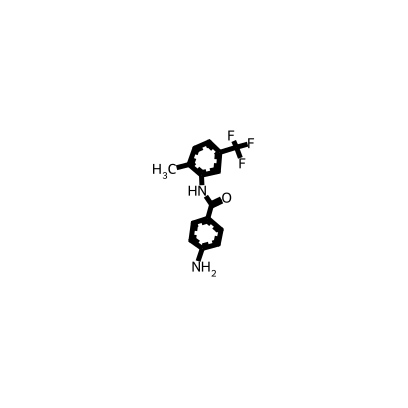 Cc1ccc(C(F)(F)F)cc1NC(=O)c1ccc(N)cc1